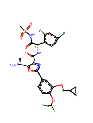 C[C@H](N)c1oc(-c2ccc(OC(F)F)c(OCC3CC3)c2)nc1C(=O)N[C@H](C(=O)NS(C)(=O)=O)c1ccc(F)cc1F